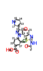 CC(=O)Nc1nc2c(s1)-c1c(c(-c3cccnc3)nn1-c1ccc(C(=O)O)cc1Cl)OC2